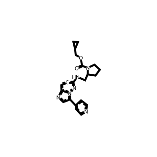 O=C(OCC1CC1)N1CCCC1CNc1ccc2ncc(-c3ccncc3)n2n1